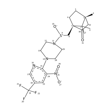 CC1(C)[C@]2(C)CC[C@@]1(C[S+]([O-])N1CCN(c3ncc(C(F)(F)F)cc3[N+](=O)[O-])CC1)C(=O)C2